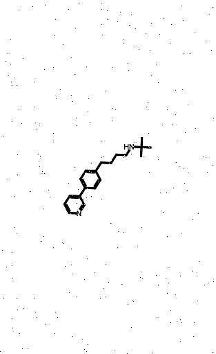 CC(C)(C)NCCCCc1ccc(-c2cccnc2)cc1